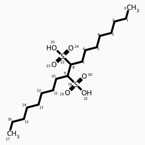 CCCCCCCCC(C(CCCCCCCC)S(=O)(=O)O)S(=O)(=O)O